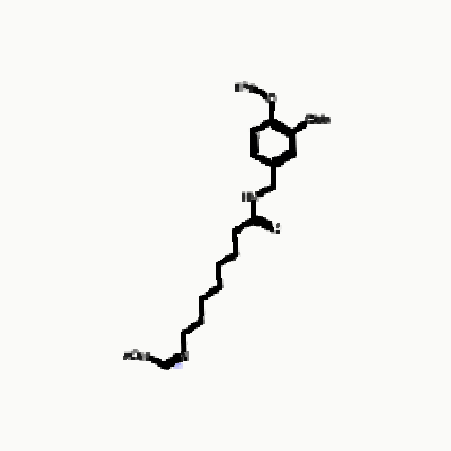 CCCCCCCC/C=N\CCCCCCCC(=O)NCc1ccc(OCCC)c(OC)c1